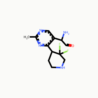 Cc1ncc(C(N)C=O)c(C2CCNCC2(F)F)n1